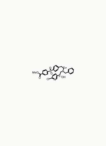 COC(=O)c1ccc(S(=O)(=O)c2ccc(C[C@@H](C)N(Cc3ccccc3)C[C@H](O)c3ccc(Cl)nc3)cc2)cc1